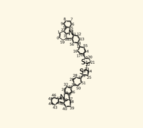 C1=Cc2c3n(c4ccccc24)-c2ccc(-c4ccc(C5CC=C(c6ccc(-c7ccc(-c8ccc9c(c8)c8cccc%10c%11ccccc%11n9c%108)cc7)s6)S5)cc4)cc2C3C1